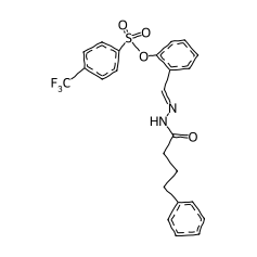 O=C(CCCc1ccccc1)NN=Cc1ccccc1OS(=O)(=O)c1ccc(C(F)(F)F)cc1